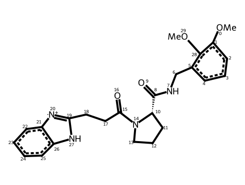 COc1cccc(CNC(=O)[C@@H]2CCCN2C(=O)CCC2=[N+]c3ccccc3N2)c1OC